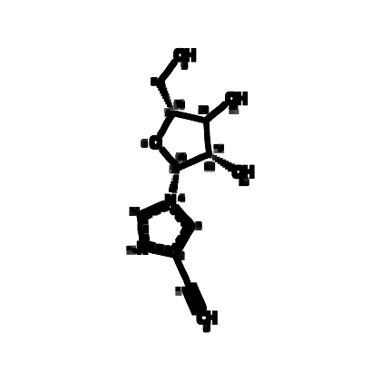 C#Cc1cn([C@@H]2O[C@H](CO)C(O)[C@@H]2O)cn1